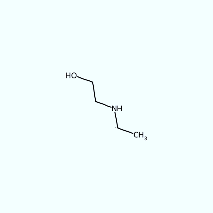 C[CH]NCCO